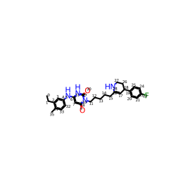 CCc1cc(Nc2cc(=O)n(CCCCCC3=CC(c4ccc(F)cc4)CCN3)c(=O)[nH]2)ccc1C